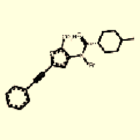 CC(C)N(c1cc(C#Cc2ccccc2)sc1C(=O)O)C(=O)[C@H]1CC[C@H](C)CC1